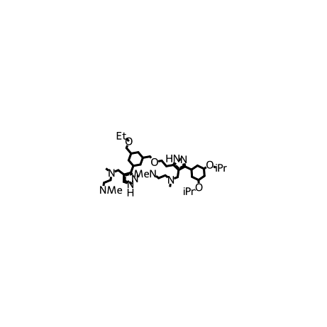 CCOCC1CC(COCCc2[nH]nc(C3CC(OC(C)C)CC(OC(C)C)C3)c2CN(C)CCNC)CC(c2n[nH]cc2CN(C)CCNC)C1